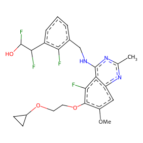 COc1cc2nc(C)nc(NCc3cccc(C(F)C(O)F)c3F)c2c(F)c1OCCOC1CC1